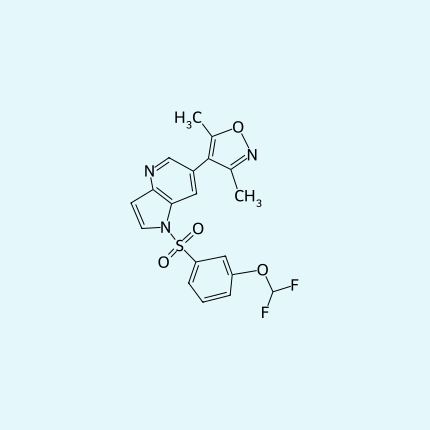 Cc1noc(C)c1-c1cnc2ccn(S(=O)(=O)c3cccc(OC(F)F)c3)c2c1